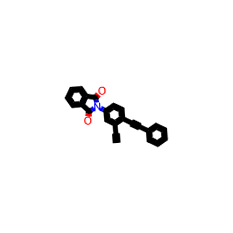 C#Cc1cc(N2C(=O)c3ccccc3C2=O)ccc1C#Cc1ccccc1